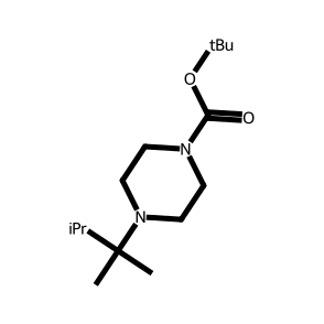 CC(C)C(C)(C)N1CCN(C(=O)OC(C)(C)C)CC1